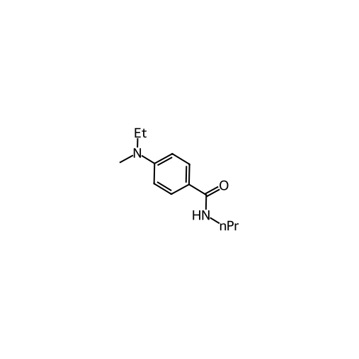 CCCNC(=O)c1ccc(N(C)CC)cc1